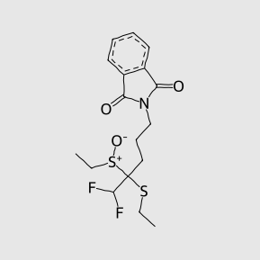 CCSC(CCCN1C(=O)c2ccccc2C1=O)(C(F)F)[S+]([O-])CC